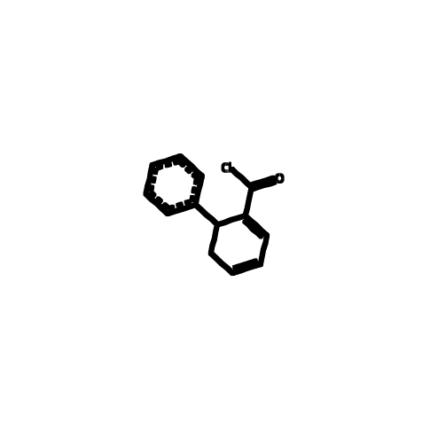 O=C(Cl)C1=CC=CCC1c1ccccc1